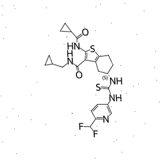 O=C(NCC1CC1)c1c(NC(=O)C2CC2)sc2c1C[C@@H](NC(=S)Nc1ccc(C(F)F)nc1)CC2